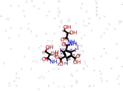 NC(=O)C(O)CO.NC(=O)C(O)CO.NC(=O)c1c(I)c(C(=O)O)c(I)c(C(=O)O)c1I